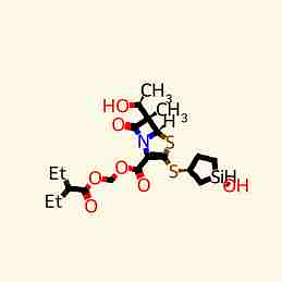 CCC(CC)C(=O)OCOC(=O)C1=C(S[C@H]2CC[SiH](O)C2)S[C@H]2N1C(=O)[C@]2(C)[C@@H](C)O